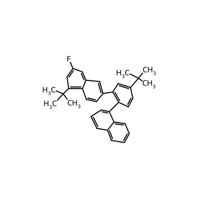 CC(C)(C)c1ccc(-c2cccc3ccccc23)c(-c2ccc3c(C(C)(C)C)cc(F)cc3c2)c1